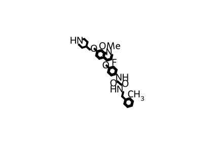 COc1c(OCC2CCNCC2)ccc2c(Oc3ccc(NC(=O)C(=O)NCCc4ccccc4C)cc3F)ccnc12